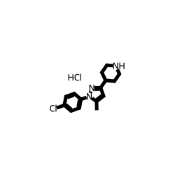 Cc1cc(C2CCNCC2)nn1-c1ccc(Cl)cc1.Cl